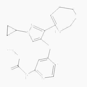 CC(C)(C)OC(=O)Nc1cc(Oc2cn(C3CC3)nc2C2=CCCOCN2)ccn1